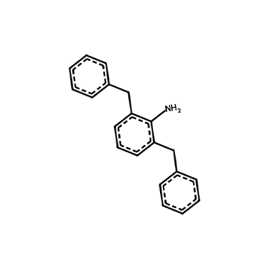 Nc1c(Cc2ccccc2)cccc1Cc1ccccc1